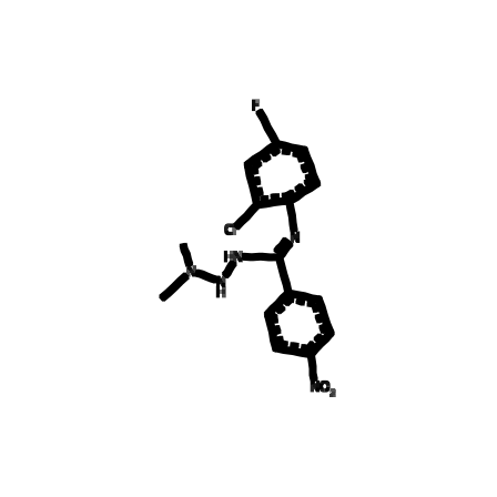 CN(C)NNC(=Nc1ccc(F)cc1Cl)c1ccc([N+](=O)[O-])cc1